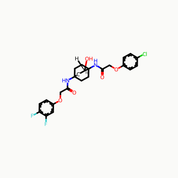 O=C(COc1ccc(F)c(F)c1)NC12CCC(NC(=O)COc3ccc(Cl)cc3)(CC1)[C@@H](O)C2